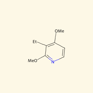 CCc1c(OC)ccnc1OC